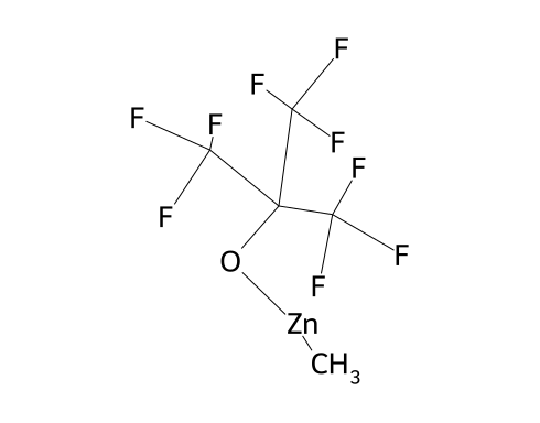 [CH3][Zn][O]C(C(F)(F)F)(C(F)(F)F)C(F)(F)F